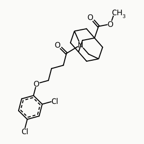 COC(=O)C12CC3CC(CN(C(=O)CCCOc4ccc(Cl)cc4Cl)C(C3)C1)C2